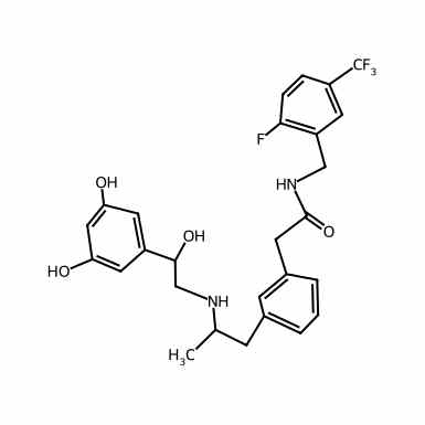 CC(Cc1cccc(CC(=O)NCc2cc(C(F)(F)F)ccc2F)c1)NCC(O)c1cc(O)cc(O)c1